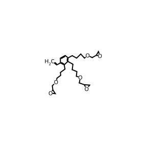 C=Cc1ccc(CCCCOCC2CO2)c(CCCCOCC2CO2)c1CCCCOCC1CO1